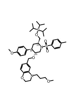 COCCCN1CCOc2ccc(CO[C@H]3CN(S(=O)(=O)c4ccc(C)cc4)[C@H](CO[Si](C(C)C)(C(C)C)C(C)C)C[C@@H]3c3ccc(OC)cc3)cc21